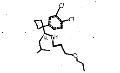 CCCOCCCN[C@@H](CC(C)C)C1(c2ccc(Cl)c(Cl)c2)CCC1